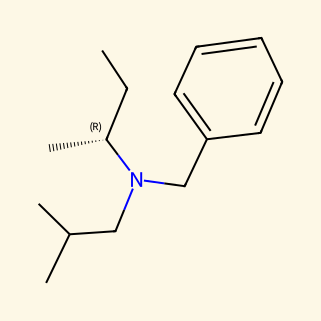 CC[C@@H](C)N(Cc1ccccc1)CC(C)C